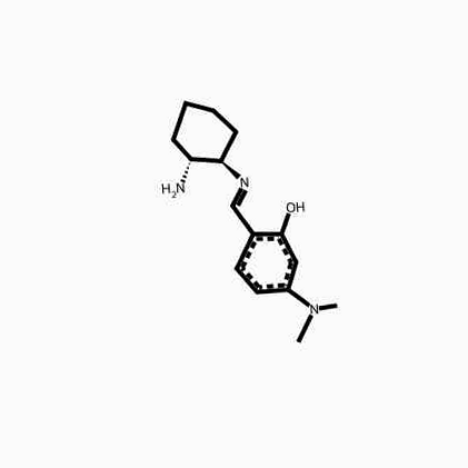 CN(C)c1ccc(/C=N/[C@@H]2CCCC[C@H]2N)c(O)c1